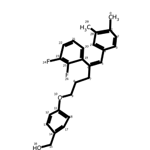 Cc1ccc(C=C(CCCOc2ccc(CO)cc2)c2cccc(F)c2F)cc1C